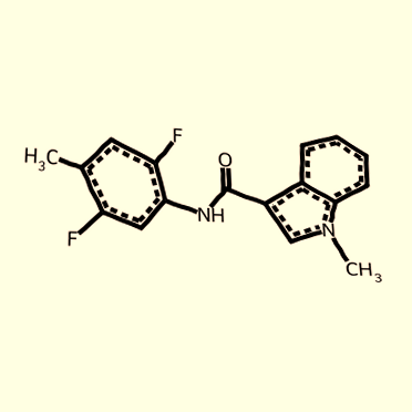 Cc1cc(F)c(NC(=O)c2cn(C)c3ccccc23)cc1F